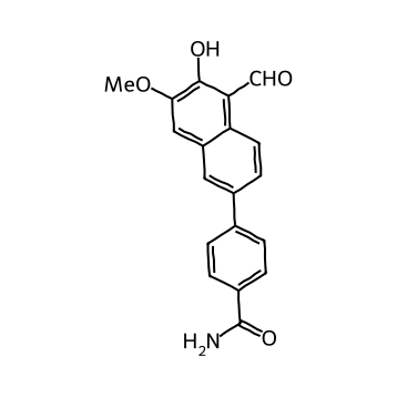 COc1cc2cc(-c3ccc(C(N)=O)cc3)ccc2c(C=O)c1O